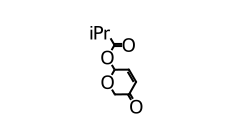 CC(C)C(=O)OC1C=CC(=O)CO1